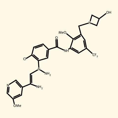 COc1cncc(/C(N)=C/N(N)c2cc(C(=O)Nc3cc(C(F)(F)F)cc(CN4CC(O)C4)c3OC)ccc2Cl)c1